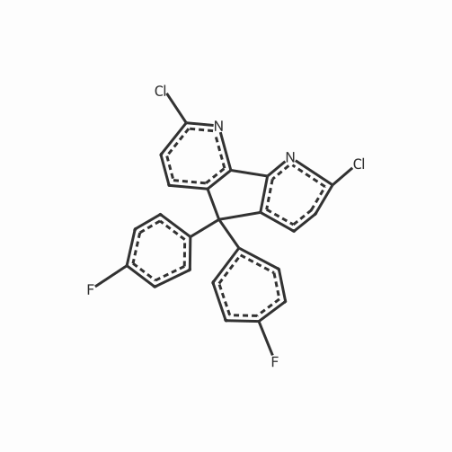 Fc1ccc(C2(c3ccc(F)cc3)c3ccc(Cl)nc3-c3nc(Cl)ccc32)cc1